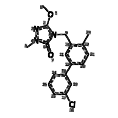 COc1nn(C)c(=O)n1Cc1cc(-c2cccc(Cl)c2)ccc1C